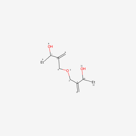 C=C(COCC(=C)C(O)CC)C(O)CC